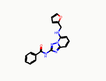 O=C(Nc1nc2cccc(NCc3ccco3)n2n1)c1ccccc1